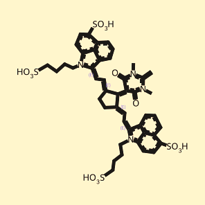 C=c1n(C)c(=O)c(=C2/C(=C/C=c3\c4cccc5c(S(=O)(=O)O)ccc(c54)n3CCCCS(=O)(=O)O)CC/C2=C\C=c2/c3cccc4c(S(=O)(=O)O)ccc(c43)n2CCCCS(=O)(=O)O)c(=O)n1C